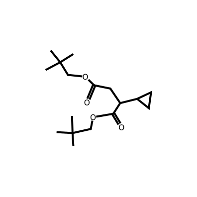 CC(C)(C)COC(=O)CC(C(=O)OCC(C)(C)C)C1CC1